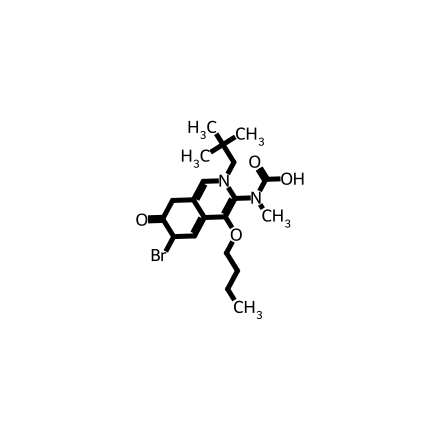 CCCCOC1=C(N(C)C(=O)O)N(CC(C)(C)C)C=C2CC(=O)C(Br)C=C21